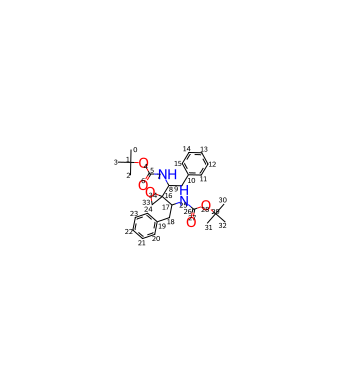 CC(C)(C)OC(=O)NC(Cc1ccccc1)C1(C(Cc2ccccc2)NC(=O)OC(C)(C)C)CO1